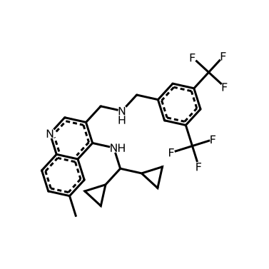 Cc1ccc2ncc(CNCc3cc(C(F)(F)F)cc(C(F)(F)F)c3)c(NC(C3CC3)C3CC3)c2c1